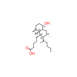 CCCCC(C)[C@H]1[C@@H](CCCCC(=O)O)[C@H]2C(C[C@@H]1C)[C@@H](O)CC[C@@H]2C